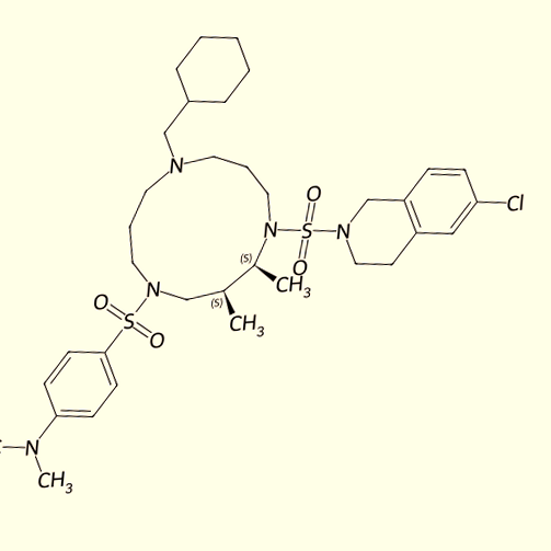 C[C@H]1CN(S(=O)(=O)c2ccc(N(C)C)cc2)CCCN(CC2CCCCC2)CCCN(S(=O)(=O)N2CCc3cc(Cl)ccc3C2)[C@H]1C